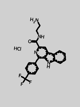 Cl.NCCNC(=O)c1cc2c([nH]c3ccccc32)c(-c2ccc(C(F)(F)F)cc2)n1